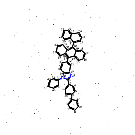 c1ccc(-c2ccc(-c3nc4cc(-c5c6ccccc6c(-c6cccc7ccccc67)c6ccccc56)ccc4n3-c3ccccc3)cc2)cc1